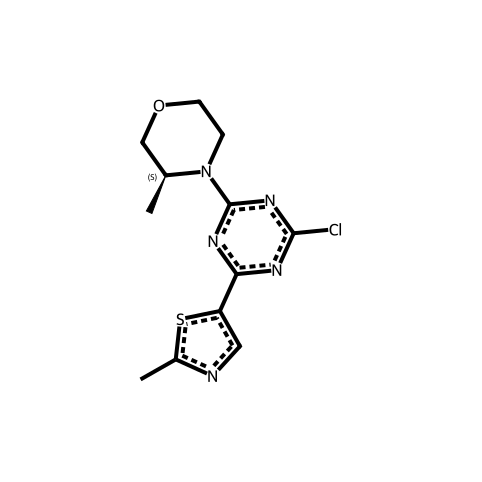 Cc1ncc(-c2nc(Cl)nc(N3CCOC[C@@H]3C)n2)s1